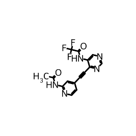 CC(=O)Nc1cc(C#Cc2ncncc2NC(=O)C(F)(F)F)ccn1